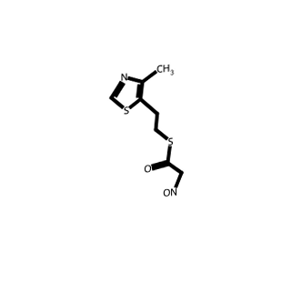 Cc1ncsc1CCSC(=O)CN=O